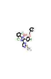 CSc1nccc(-c2nc(-c3c(Cl)cccc3Cl)n(O)c2-c2ccc(F)c(OCc3ccccc3)c2)n1